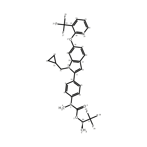 C[C@@H](OC(=O)N(C)c1ccc(-c2cc3ccc(Oc4ncccc4C(F)(F)F)cc3n2CC2CC2)cc1)C(F)(F)F